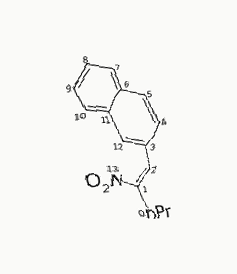 CCCC(=Cc1ccc2ccccc2c1)[N+](=O)[O-]